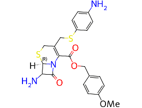 COc1ccc(COC(=O)C2=C(CSc3ccc(N)cc3)CS[C@@H]3C(N)C(=O)N23)cc1